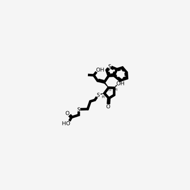 CC(O)C=C(c1csc2ccccc12)[C@H]1[C@H](O)CC(=O)[C@@H]1SCCCSCC(=O)O